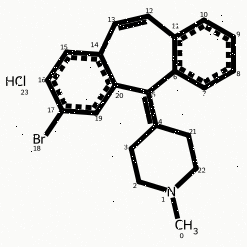 CN1CCC(=C2c3ccccc3C=Cc3ccc(Br)cc32)CC1.Cl